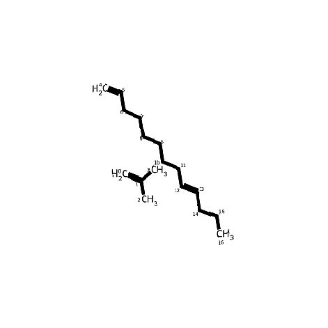 C=C(C)C.C=CCCCCCCC=CCCC